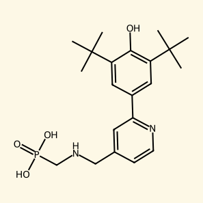 CC(C)(C)c1cc(-c2cc(CNCP(=O)(O)O)ccn2)cc(C(C)(C)C)c1O